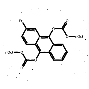 CCCCCCCCOC(=O)Oc1c2ccccc2c(OC(=O)OCCCCCCCC)c2cc(CC)ccc12